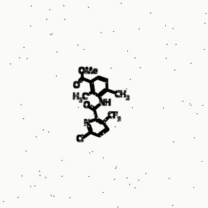 COC(=O)c1ccc(C)c(NC(=O)c2nc(Cl)ccc2C(F)(F)F)c1C